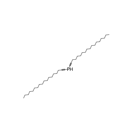 CCCCCCCCCCCCCCCCC#CPC#CCCCCCCCCCCCCCCCC